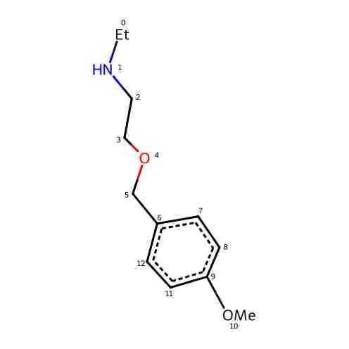 CCNCCOCc1ccc(OC)cc1